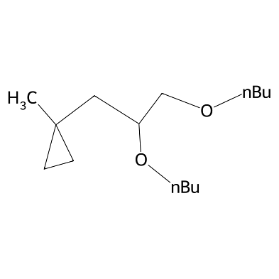 CCCCOCC(CC1(C)CC1)OCCCC